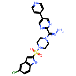 N/N=C(\c1ncc(-c2ccncc2)cn1)N1CCN(S(=O)(=O)c2cc3cc(Cl)ccc3[nH]2)CC1